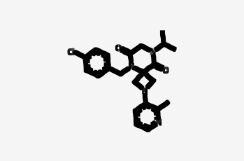 Cc1ncccc1N1CC2(C1)C(=O)N(C(C)C)CC(=O)N2Cc1ccc(Cl)cc1